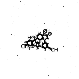 C#Cc1cccc(-c2cc(=O)n(C)c3ccc([C@](O)(c4ccc(Cl)cc4)c4cncn4C)cc23)c1